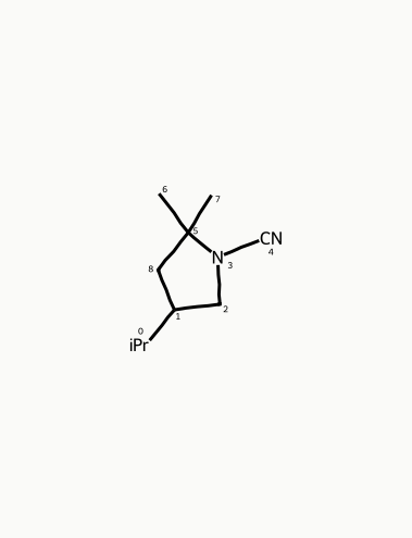 CC(C)C1CN(C#N)C(C)(C)C1